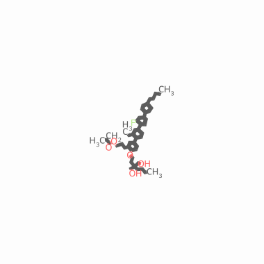 C=C(C)C(=O)OCCCc1cc(-c2ccc(-c3ccc(-c4ccc(CCCCC)cc4)cc3F)cc2CC)ccc1OCCC(CO)(CO)CCCC